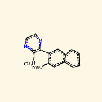 COc1cc2ccccc2cc1-c1nccnc1C(=O)O